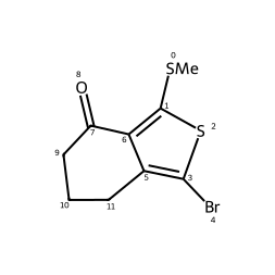 CSc1sc(Br)c2c1C(=O)CCC2